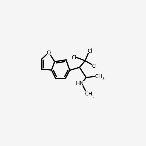 CNC(C)C(c1ccc2ccoc2c1)C(Cl)(Cl)Cl